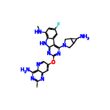 CNc1cc(F)cc2c1[nH]c1nc(Oc3cnc4c(N)nc(C)nc4c3)nc(N3CC4C(N)C4C3)c12